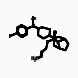 CC=CCOC(=O)N1C2CCC1CC(N1CCC(N(C(C)=O)c3ccc(F)cc3)CC1)C2